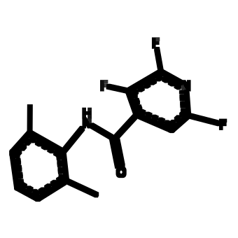 Cc1cccc(C)c1NC(=O)c1cc(F)nc(F)c1F